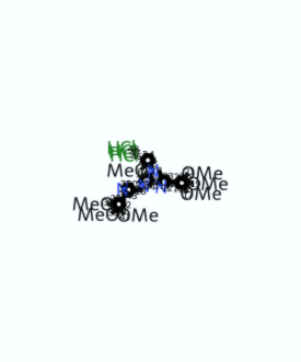 COc1ccccc1N(Cc1cncc(-c2cc(OC)c(OC)c(OC)c2)c1)C1CCN(Cc2ccnc(-c3cc(OC)c(OC)c(OC)c3)c2)CC1.Cl.Cl.Cl